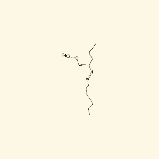 CCCCCN=NC(=COO)CCC